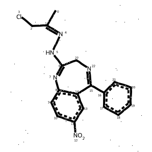 CC(CCl)=NNC1=Nc2ccc([N+](=O)[O-])cc2C(c2ccccc2)=NC1